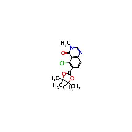 Cn1cnc2ccc(B3OC(C)(C)C(C)(C)O3)c(Cl)c2c1=O